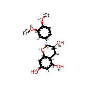 CCOc1ccc([C@H]2Oc3cc(O)cc(O)c3C[C@H]2O)cc1OCC